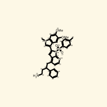 COc1cc2c(-c3cc4c(CC(CCN)c5ccccc5)ccnc4n3S(=O)(=O)c3ccc(C)cc3)cn(C)c2cc1OC